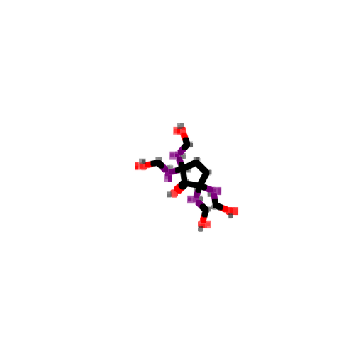 O=C1C(PCO)(PCO)CCC1(PCO)PCO